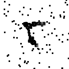 O=C(O)c1ccc(CCc2ccccc2NCCCCCCCS(=O)(=O)c2ccc(Cl)cc2)cc1